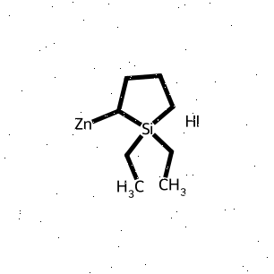 CC[Si]1(CC)CCC[CH]1[Zn].I